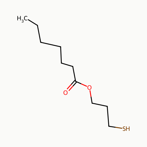 CCCCCCC(=O)OCCCS